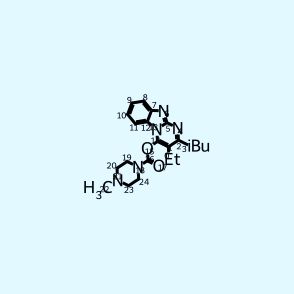 CCc1c(C(C)CC)nc2nc3ccccc3n2c1OC(=O)N1CCN(C)CC1